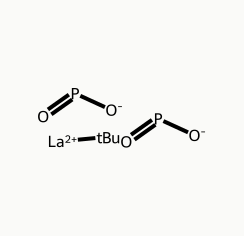 C[C](C)(C)[La+2].O=P[O-].O=P[O-]